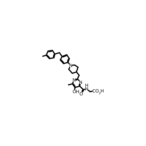 Cc1ccc(Cc2ccc(N3CCC(Cc4nc(C)c(O)c(C(=O)NCC(=O)O)n4)CC3)cc2)cc1